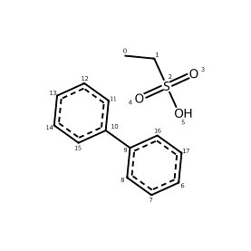 CCS(=O)(=O)O.c1ccc(-c2ccccc2)cc1